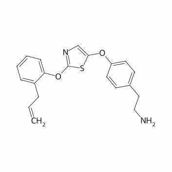 C=CCc1ccccc1Oc1ncc(Oc2ccc(CCN)cc2)s1